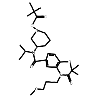 COCCCN1C(=O)C(C)(C)Oc2ccc(C(=O)N(C(C)C)[C@@H]3CCCN(OC(=O)C(C)(C)C)C3)cc21